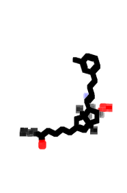 CNC(=O)CCCCC1=C[C@H]2C[C@@H](O)[C@H](/C=C/CCc3cccc(C)c3)[C@H]2C1